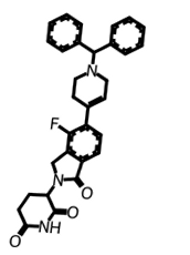 O=C1CCC(N2Cc3c(ccc(C4=CCN(C(c5ccccc5)c5ccccc5)CC4)c3F)C2=O)C(=O)N1